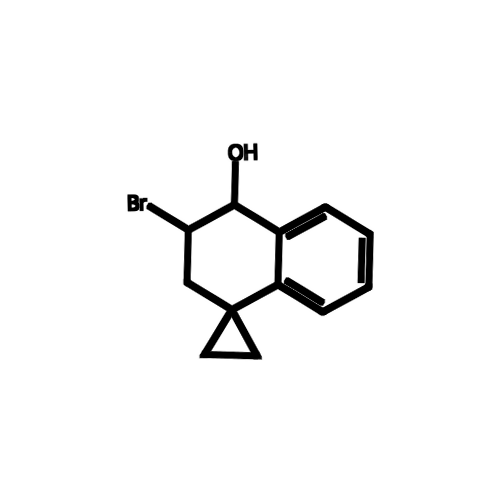 OC1c2ccccc2C2(CC2)CC1Br